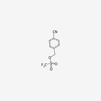 N#Cc1ccc(COS(=O)(=O)C(F)(F)F)cc1